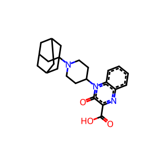 O=C(O)c1nc2ccccc2n(C2CCN(C34CC5CC(CC(C5)C3)C4)CC2)c1=O